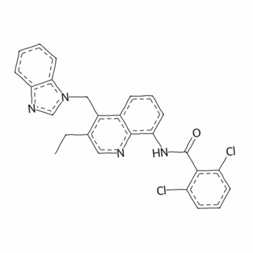 CCc1cnc2c(NC(=O)c3c(Cl)cccc3Cl)cccc2c1Cn1cnc2ccccc21